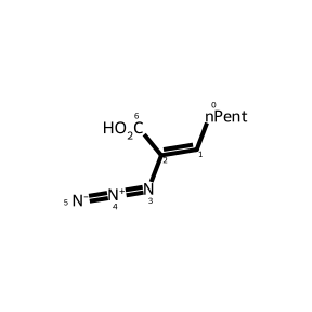 CCCCC/C=C(/N=[N+]=[N-])C(=O)O